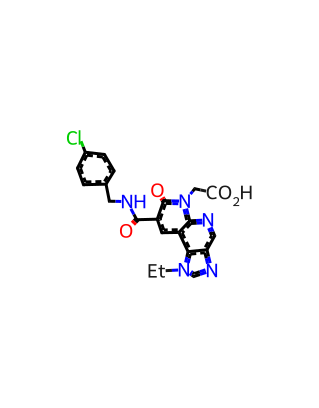 CCn1cnc2cnc3c(cc(C(=O)NCc4ccc(Cl)cc4)c(=O)n3CC(=O)O)c21